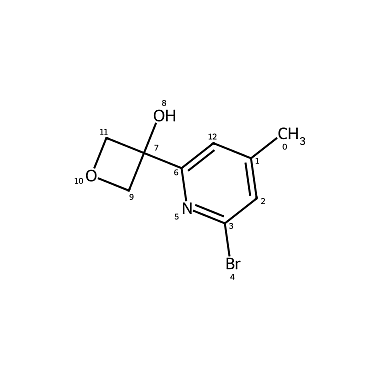 Cc1cc(Br)nc(C2(O)COC2)c1